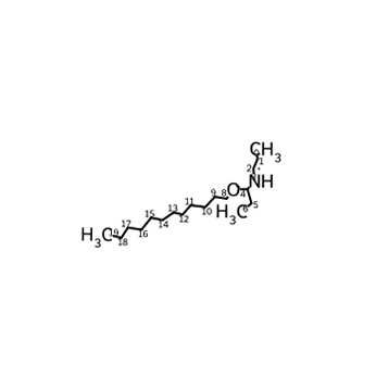 CC[CH]NC(CC)OCCCCCCCCCCCC